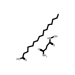 CCCCCCCCCCCCCCCC(=O)O.NC(=O)CCC(=O)NO